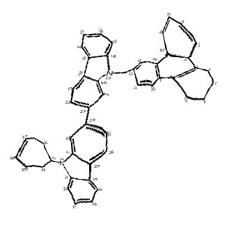 C1=CC2C3=C(CCCC3)c3ccc(-n4c5ccccc5c5ccc(-c6ccc7c8ccccc8n(C8CC=CCC8)c7c6)cc54)cc3C2C=C1